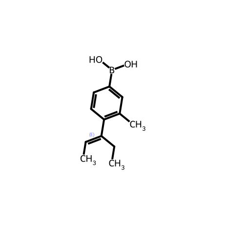 C/C=C(\CC)c1ccc(B(O)O)cc1C